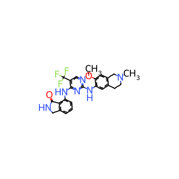 COc1cc2c(cc1Nc1ncc(C(F)(F)F)c(Nc3cccc4c3C(=O)NC4)n1)CCN(C)C2